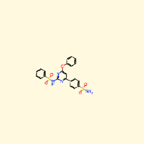 NS(=O)(=O)c1ccc(-c2cc(Oc3ccccc3)nc(NS(=O)(=O)c3ccccc3)n2)cc1